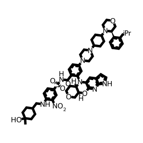 CC(C)c1ccccc1[C@@H]1COCCN1C1CCC(N2CCN(c3ccc(C(=O)NS(=O)(=O)c4ccc(NCC5CCC(C)(O)CC5)c([N+](=O)[O-])c4)c(N4c5cc6cc[nH]c6nc5O[C@H]5COCC[C@@H]54)c3)CC2)CC1